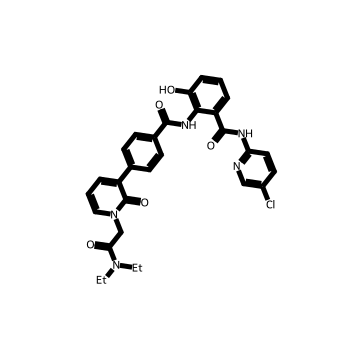 CCN(CC)C(=O)Cn1cccc(-c2ccc(C(=O)Nc3c(O)cccc3C(=O)Nc3ccc(Cl)cn3)cc2)c1=O